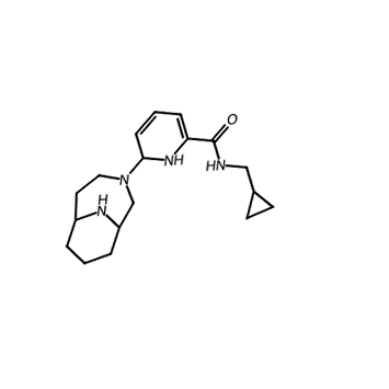 O=C(NCC1CC1)C1=CC=CC(N2CCC3CCCC(C2)N3)N1